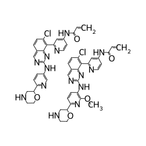 C=CC(=O)Nc1ccnc(-c2c(Cl)ccc3cnc(Nc4ccc(C5CNCCO5)nc4)nc23)c1.C=CC(=O)Nc1ccnc(-c2c(Cl)ccc3cnc(Nc4ccc(C5CNCCO5)nc4OC)nc23)c1